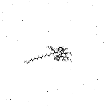 CCCCCCCCCCCCCC(Cc1ccccc1C1(CCOC)C(C(=O)O)=C(C)N(CC)C(C)=C1C(=O)O)OCC